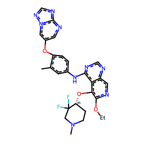 CCOc1ncc2ncnc(Nc3ccc(Oc4cnc5ncnn5c4)c(C)c3)c2c1O[C@@H]1CCN(C)CC1(F)F